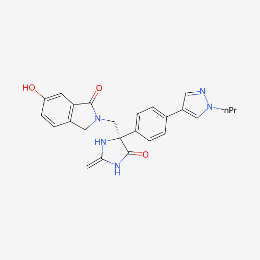 C=C1NC(=O)[C@](CN2Cc3ccc(O)cc3C2=O)(c2ccc(-c3cnn(CCC)c3)cc2)N1